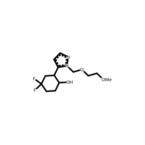 COCCOCn1nccc1C1CC(F)(F)CCC1O